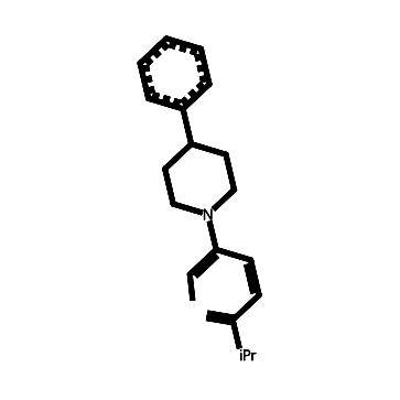 C=C(/C=C\C(=C/C)N1CCC(c2ccccc2)CC1)C(C)C